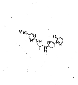 CSc1cnc(NCC(C)CNc2ccc(-n3ncccc3=O)cn2)nc1